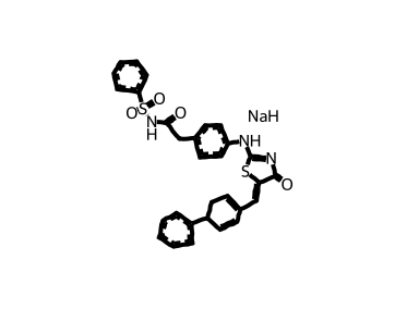 O=C(Cc1ccc(NC2=NC(=O)/C(=C/C3=CCC(c4ccccc4)C=C3)S2)cc1)NS(=O)(=O)c1ccccc1.[NaH]